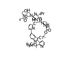 C=CC(=O)N1CCO[C@H]2CN(C(=O)N(C)[C@H](C(=O)N[C@H]3Cc4cccc(n4)-c4ccc5c(c4)c(c(-c4cccnc4[C@H](C)OC)n5CC(F)(F)F)CC(C)(C)COC(=O)[C@@H]4CCCN(N4)C3=O)C(C)C)C[C@H]21